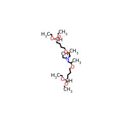 CCO[SiH](CCCCOC(C)CN(CC)CC(C)OCCCC[SiH](OCC)OCC)OCC